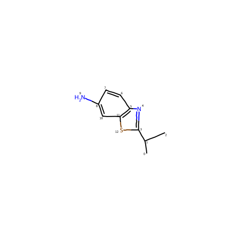 CC(C)c1nc2ccc(N)cc2s1